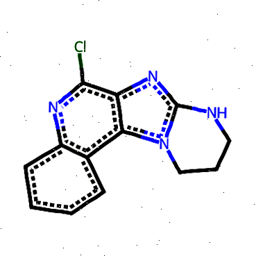 Clc1nc2ccccc2c2c1nc1n2CCCN1